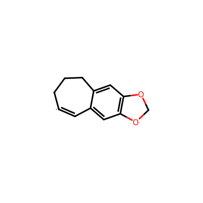 [C]1=Cc2cc3c(cc2CCC1)OCO3